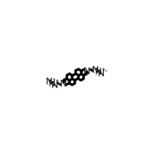 [N-]=[N+]=NCC[n+]1cc2ccc3c4ccc5c[n+](CCN=[N+]=[N-])cc6ccc(c7ccc(c1)c2c37)c4c56